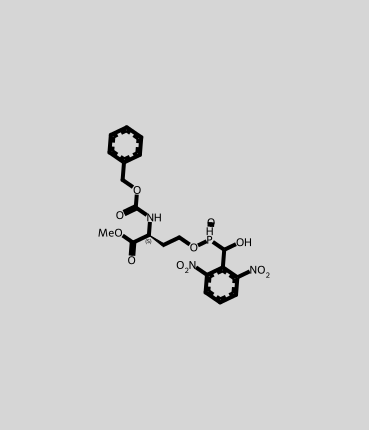 COC(=O)[C@H](CCO[PH](=O)C(O)c1c([N+](=O)[O-])cccc1[N+](=O)[O-])NC(=O)OCc1ccccc1